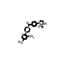 Cc1cnc(N2CCN(C(=O)c3ccc(N4CCNS4(=O)=O)cc3)CC2)c(C)c1